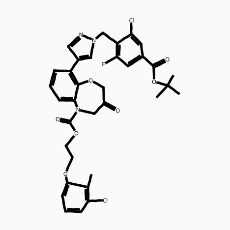 Cc1c(Cl)cccc1OCCOC(=O)N1CC(=O)COc2c(-c3cnn(Cc4c(F)cc(C(=O)OC(C)(C)C)cc4Cl)c3)cccc21